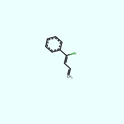 C=CC=C(Br)c1ccccc1